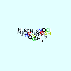 CC(CCC(C)(C)c1nc2ccc(Cl)c(S)c2o1)Sc1c(Cl)ccc2nc(C(C)(C)C)oc12